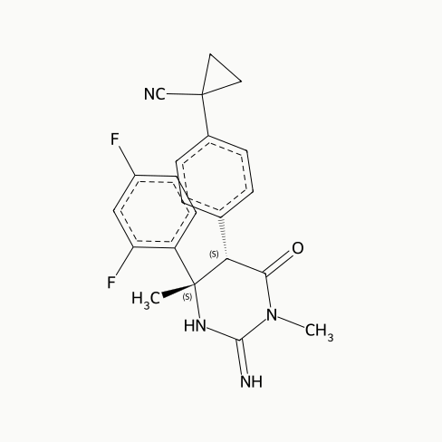 CN1C(=N)N[C@](C)(c2ccc(F)cc2F)[C@H](c2ccc(C3(C#N)CC3)cc2)C1=O